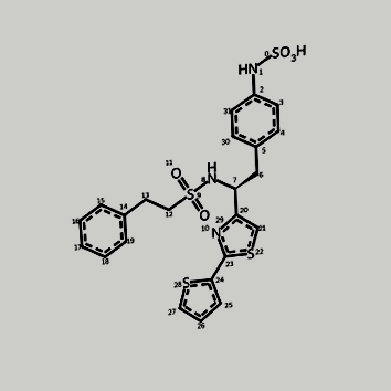 O=S(=O)(O)Nc1ccc(C[C@H](NS(=O)(=O)CCc2ccccc2)c2csc(-c3cccs3)n2)cc1